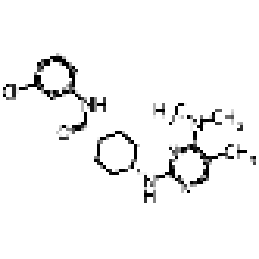 Cc1cnc(N[C@H]2CC[C@@H](C(=O)Nc3cccc(Cl)c3)CC2)nc1N(C)C